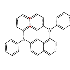 c1ccc(N(c2ccccc2)c2ccc3cccc(N(c4ccccc4)c4ccccc4)c3c2)cc1